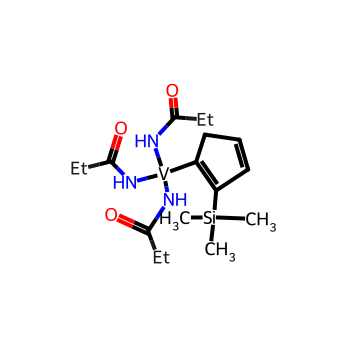 CCC(=O)[NH][V]([NH]C(=O)CC)([NH]C(=O)CC)[C]1=C([Si](C)(C)C)C=CC1